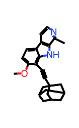 COc1ccc2c([nH]c3c(C)nccc32)c1C#CC12CC3CC(CC(C3)C1)C2